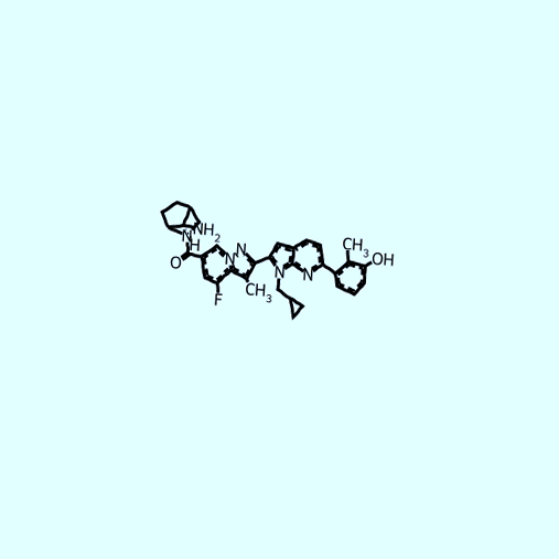 Cc1c(O)cccc1-c1ccc2cc(-c3nn4cc(C(=O)N5CC6CCC5[C@@H]6N)cc(F)c4c3C)n(CC3CC3)c2n1